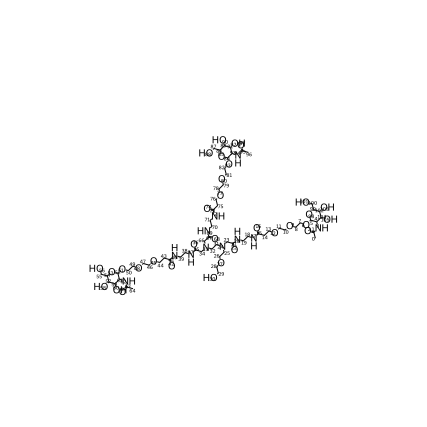 CC(=O)NC1C(OCCOCCOCCC(=O)NCCNC(=O)CN(CCOCCO)CCN(CC(=O)NCCNC(=O)CCOCCOCCOC2OC(CO)C(O)C(O)C2NC(C)=O)CC(=O)NCCNC(=O)CCOCCOCCOC2OC(CO)C(O)C(O)C2NC(C)=O)OC(CO)C(O)C1O